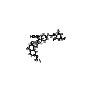 COc1ccc2ncc(C)c(CCCC3(C(=O)NO)CCN(CCSc4c(F)cc(F)cc4F)CC3)c2c1